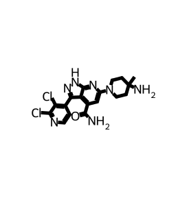 CC1(N)CCN(c2cc(C(N)=O)c3c(-c4ccnc(Cl)c4Cl)n[nH]c3n2)CC1